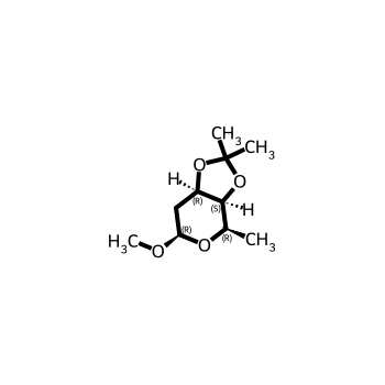 CO[C@H]1C[C@H]2OC(C)(C)O[C@H]2[C@@H](C)O1